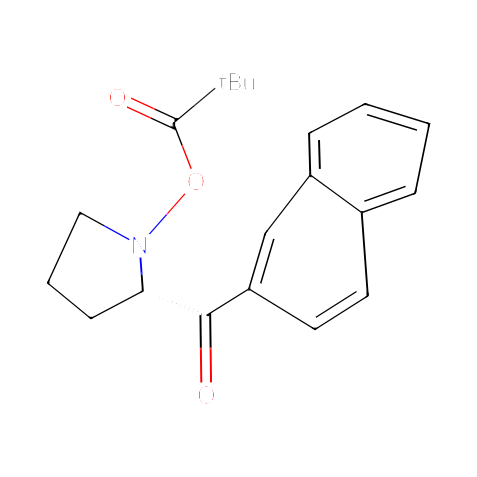 CC(C)(C)C(=O)ON1CCC[C@H]1C(=O)c1ccc2ccccc2c1